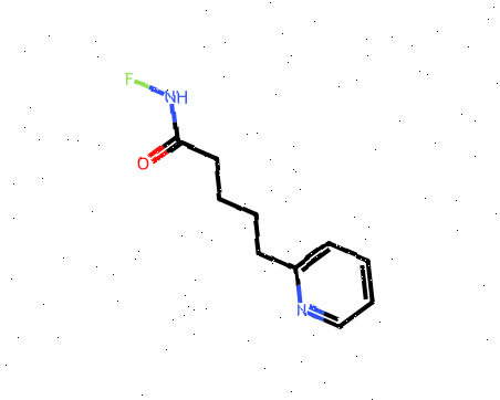 O=C(CCCCc1ccccn1)NF